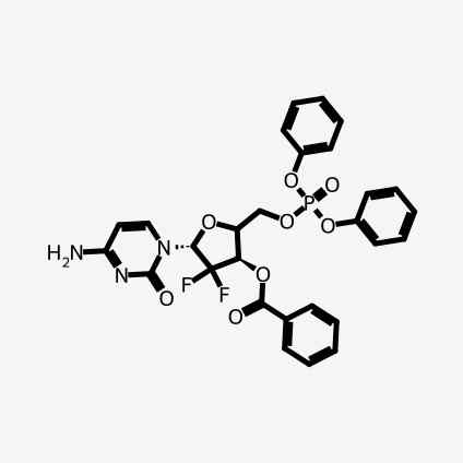 Nc1ccn([C@@H]2OC(COP(=O)(Oc3ccccc3)Oc3ccccc3)[C@@H](OC(=O)c3ccccc3)C2(F)F)c(=O)n1